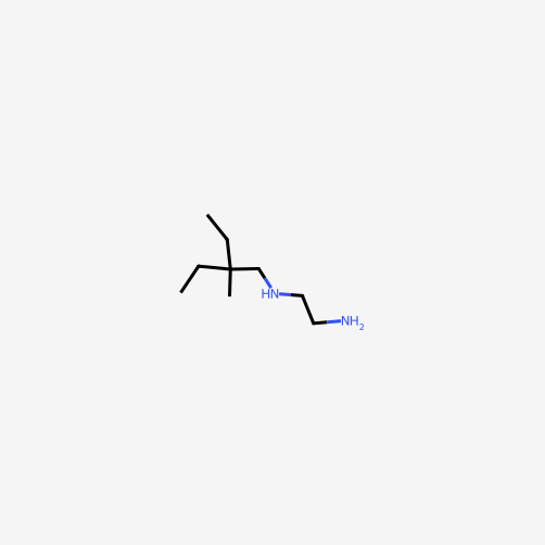 CCC(C)(CC)CNCCN